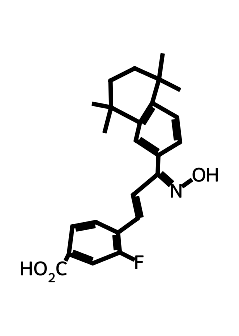 CC1(C)CCC(C)(C)c2cc(C(/C=C/c3ccc(C(=O)O)cc3F)=N\O)ccc21